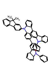 CC1(C)c2ccccc2-c2ccc(N(c3ccc(-c4ccc5c(c4)C4C=CC=CC4N5c4ccccc4)cc3)c3ccccc3-c3ccc4c(c3)c3ccccc3n4-c3ccccc3)cc21